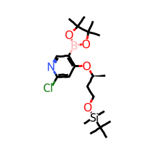 C[C@@H](CCO[Si](C)(C)C(C)(C)C)Oc1cc(Cl)ncc1B1OC(C)(C)C(C)(C)O1